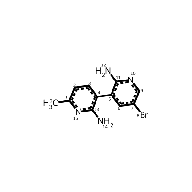 Cc1ccc(-c2cc(Br)cnc2N)c(N)n1